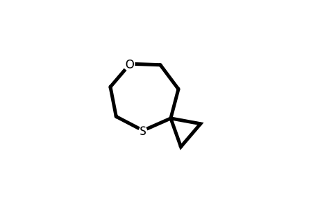 C1CSC2(CCO1)CC2